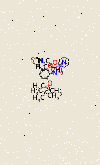 CC(C)(C)OC(=O)N1C2CC1CN(c1nc3c(O[Si](C)(C)C(C)(C)C)ccc(-c4cscn4)c3o1)C2